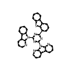 c1ccc2c(c1)sc1c(-c3nc(-n4c5ccccc5c5cccnc54)nc(-n4c5ncccc5c5cccnc54)n3)cccc12